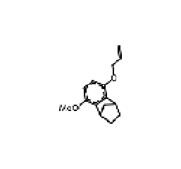 C=CCOc1ccc(OC)c2c1C1CCC2C1